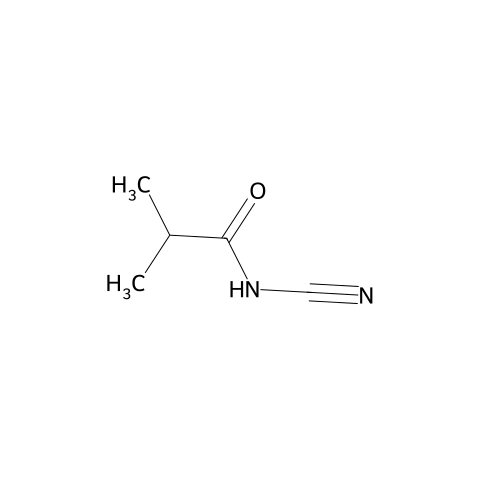 CC(C)C(=O)NC#N